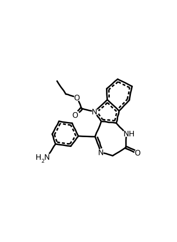 CCOC(=O)n1c2c(c3ccccc31)NC(=O)CN=C2c1cccc(N)c1